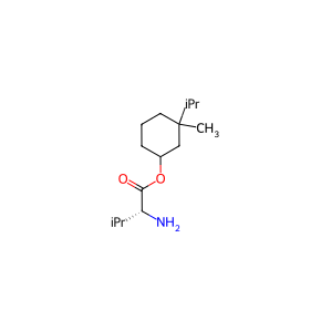 CC(C)[C@@H](N)C(=O)OC1CCCC(C)(C(C)C)C1